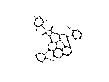 Cc1cc(C)c(-n2c(=O)c3c4cc(-c5ccccc5C(C)(C)C)c5ccc6ccc7c(-c8ccccc8C(C)(C)C)cc(c3c2=O)c2c7c6c5c42)c(C)c1